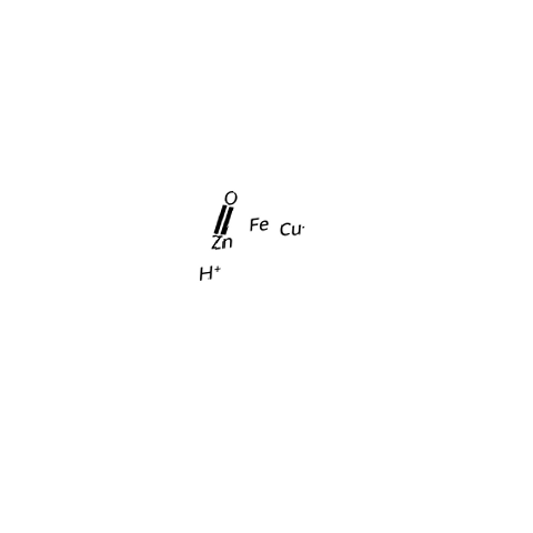 [Cu].[Fe].[H+].[O]=[Zn]